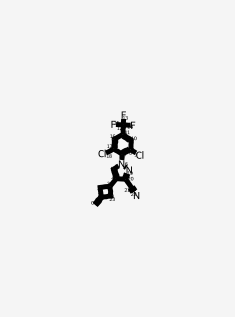 C=C1CC(c2cn(-c3c(Cl)cc(C(F)(F)F)cc3Cl)nc2C#N)C1